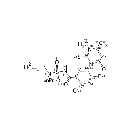 C#CCN(CCC)S(=O)(=O)NC(=O)c1cc(-n2c(=O)cc(C(F)(F)F)n(C)c2=S)c(F)cc1Cl